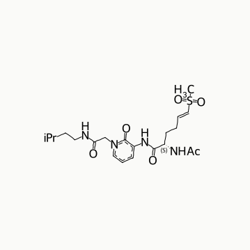 CC(=O)N[C@@H](CCC=CS(C)(=O)=O)C(=O)Nc1cccn(CC(=O)NCCC(C)C)c1=O